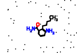 CCCCCc1c(N)cccc1C(N)=O